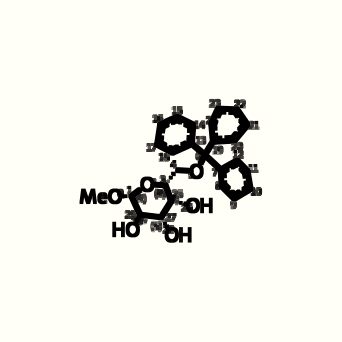 CO[C@@H]1O[C@H](COC(c2ccccc2)(c2ccccc2)c2ccccc2)[C@H](O)[C@H](O)[C@H]1O